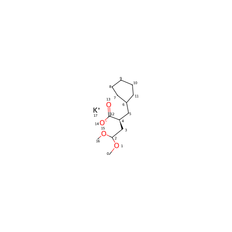 COC(C[C@H](CC1CCCCC1)C(=O)[O-])OC.[K+]